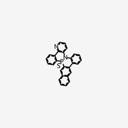 S=P12c3cc4ccccc4cc3-c3ccccc3N1c1cccnc1-c1ccccc12